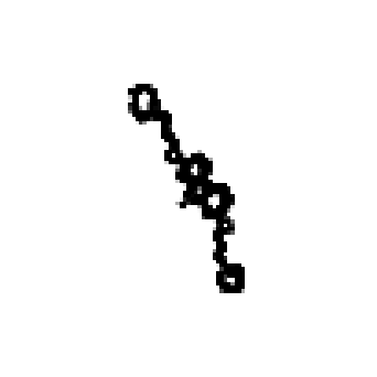 Cn1c2cc(OCCCN3CCCCC3)ccc2c2ccc(OCCCN3CCCCC3)cc21